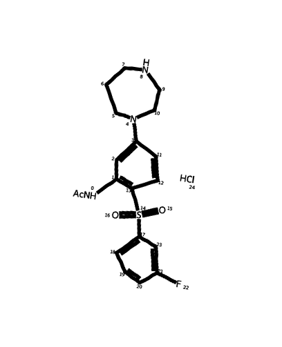 CC(=O)Nc1cc(N2CCCNCC2)ccc1S(=O)(=O)c1cccc(F)c1.Cl